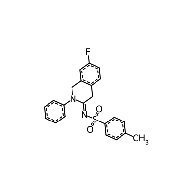 Cc1ccc(S(=O)(=O)N=C2Cc3ccc(F)cc3CN2c2ccccc2)cc1